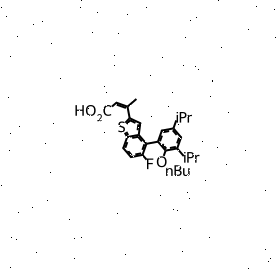 CCCCOc1c(-c2c(F)ccc3sc(/C(C)=C\C(=O)O)cc23)cc(C(C)C)cc1C(C)C